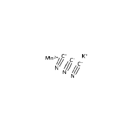 [C-]#N.[C-]#N.[C-]#N.[K+].[Mn+2]